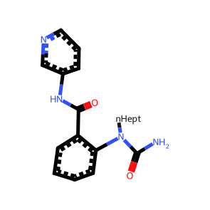 CCCCCCCN(C(N)=O)c1ccccc1C(=O)Nc1cccnc1